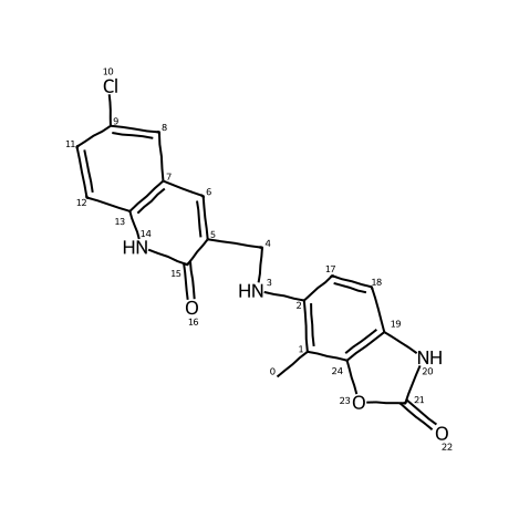 Cc1c(NCc2cc3cc(Cl)ccc3[nH]c2=O)ccc2[nH]c(=O)oc12